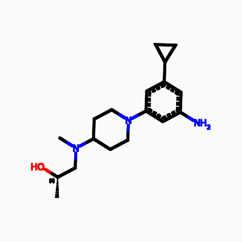 C[C@H](O)CN(C)C1CCN(c2cc(N)cc(C3CC3)c2)CC1